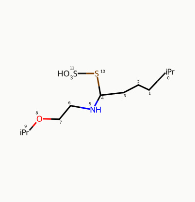 CC(C)CCCC(NCCOC(C)C)SS(=O)(=O)O